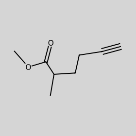 C#CCCC(C)C(=O)OC